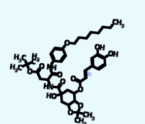 CCCCCCCCOc1ccc(NC(=O)C(CC(=O)OC(C)(C)C)NC(=O)C2(O)CC(OC(=O)/C=C/c3ccc(O)c(O)c3)C3OC(C)(C)OC3C2)cc1